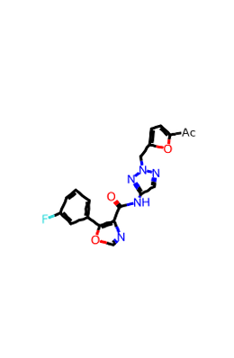 CC(=O)c1ccc(Cn2ncc(NC(=O)c3ncoc3-c3cccc(F)c3)n2)o1